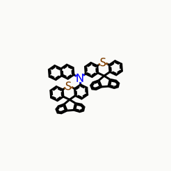 c1ccc2c(c1)Sc1ccc(N(c3ccc4ccccc4c3)c3cccc4c3Sc3ccccc3C43c4ccccc4-c4ccccc43)cc1C21c2ccccc2-c2ccccc21